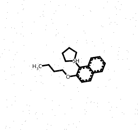 CCCCOc1ccc2ccccc2c1[SH]1CCCC1